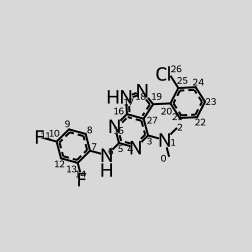 CN(C)c1nc(Nc2ccc(F)cc2F)nc2[nH]nc(-c3ccccc3Cl)c12